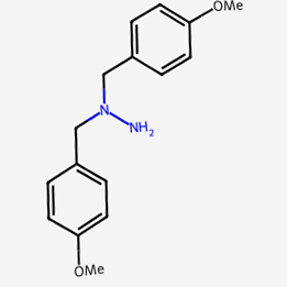 COc1ccc(CN(N)Cc2ccc(OC)cc2)cc1